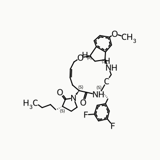 CCCC[C@H]1CCN([C@H]2CC=CCO[C@@H]3C[C@H](NCC[C@H](Cc4cc(F)cc(F)c4)NC2=O)c2cc(OC)ccc23)C1=O